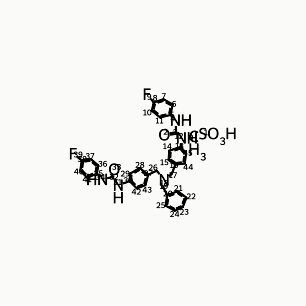 CS(=O)(=O)O.O=C(Nc1ccc(F)cc1)Nc1ccc(CN(Cc2ccccc2)Cc2ccc(NC(=O)Nc3ccc(F)cc3)cc2)cc1